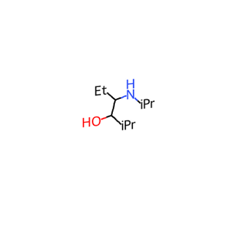 CCC(NC(C)C)C(O)C(C)C